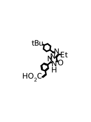 CCc1nc(C2CCC(C(C)(C)C)CC2)n2nc(-c3cccc(/C=C\C(=O)O)c3)[nH]c(=O)c12